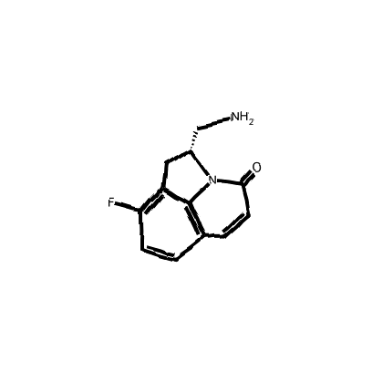 NC[C@H]1Cc2c(F)ccc3ccc(=O)n1c23